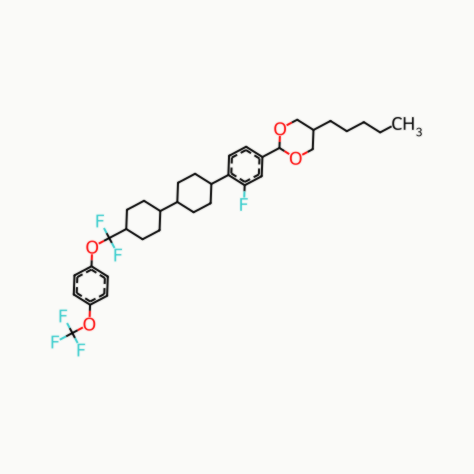 CCCCCC1COC(c2ccc(C3CCC(C4CCC(C(F)(F)Oc5ccc(OC(F)(F)F)cc5)CC4)CC3)c(F)c2)OC1